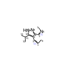 C/C=C\c1c(/C=N\C)n[nH]c1C(C)C